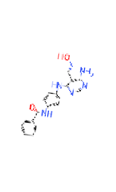 Nc1ncnc(Nc2ccc(NC(=O)c3ccccc3)cc2)c1/C=N/O